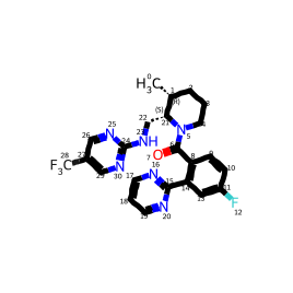 C[C@@H]1CCCN(C(=O)c2ccc(F)cc2-c2ncccn2)[C@@H]1CNc1ncc(C(F)(F)F)cn1